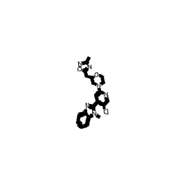 Cc1noc(CC2CN(c3cc(-c4nc5ccccc5n4C)c(Cl)cn3)CCO2)n1